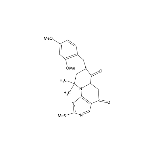 COc1ccc(CN2CC(C)(C)N3c4nc(SC)ncc4C(=O)CC3C2=O)c(OC)c1